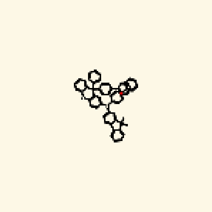 CC1(C)c2ccccc2-c2ccc(N(c3ccc(-c4ccccc4)cc3)c3ccc4c(c3)C(c3ccccc3)(c3ccc(-c5ccccc5)cc3)c3ccccc3O4)cc21